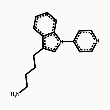 NCCCCc1cn(-c2ccncc2)c2ccccc12